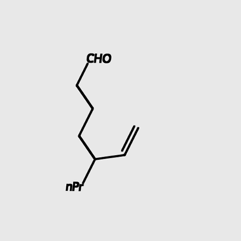 C=CC(CCC)CCCC=O